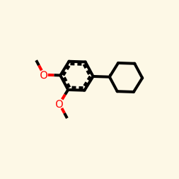 COc1ccc([C]2CCCCC2)cc1OC